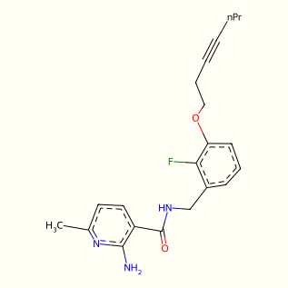 CCCC#CCCOc1cccc(CNC(=O)c2ccc(C)nc2N)c1F